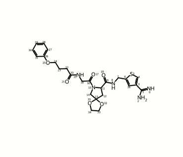 N=C(N)c1csc(CNC(=O)C2CC3(CN2C(=O)CNC(=O)CCCOc2ccccc2)OCCO3)c1